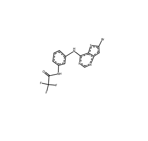 O=C(Nc1cccc(Nc2ncnc3cc(Br)sc23)c1)C(F)(F)F